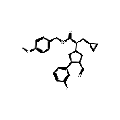 COc1ccc(COC(=O)[C@@H](CC2CC2)C2CC(C=O)C(c3cccc(F)c3)C2)cc1